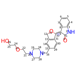 O=C1Nc2ccccc2/C1=C1\OCc2cc(CN3CCN(CCOCCO)CC3)ccc21